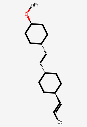 CCC=C[C@H]1CC[C@H](CC[C@H]2CC[C@H](OCCC)CC2)CC1